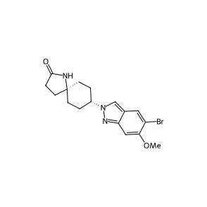 COc1cc2nn([C@H]3CC[C@@]4(CCC(=O)N4)CC3)cc2cc1Br